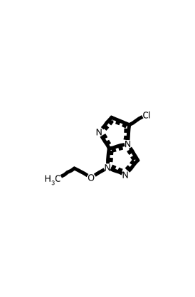 CCOn1ncn2c(Cl)cnc12